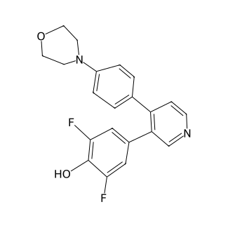 Oc1c(F)cc(-c2cnccc2-c2ccc(N3CCOCC3)cc2)cc1F